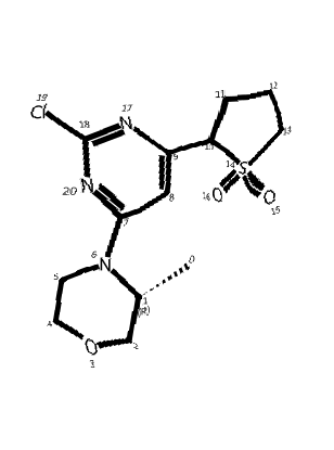 C[C@@H]1COCCN1c1cc(C2CCCS2(=O)=O)nc(Cl)n1